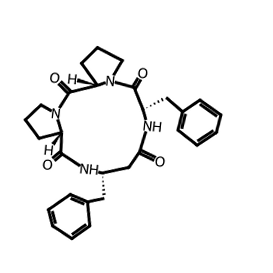 O=C1C[C@H](Cc2ccccc2)NC(=O)[C@@H]2CCCN2C(=O)[C@@H]2CCCN2C(=O)[C@H](Cc2ccccc2)N1